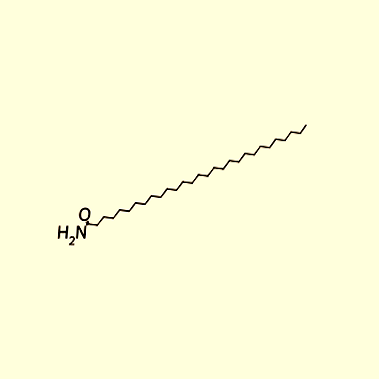 CCCCCCCCCCCCCCCCCCCCCCCCCCCCC(N)=O